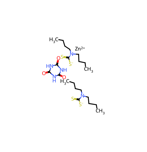 CCCCN(CCCC)C(=S)[S-].CCCCN(CCCC)C(=S)[S-].O=c1[nH]c(=O)[nH]c(=O)[nH]1.[Zn+2]